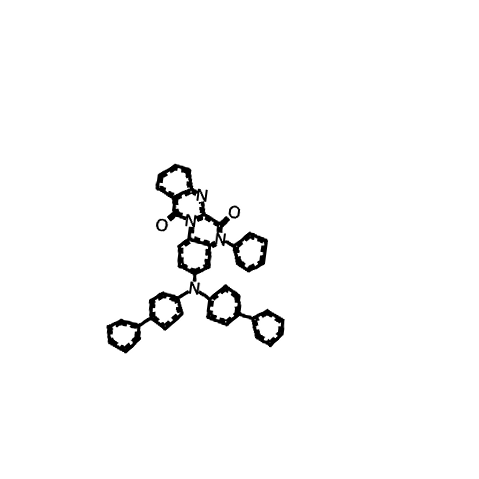 O=c1c2nc3ccccc3c(=O)n2c2ccc(N(c3ccc(-c4ccccc4)cc3)c3ccc(-c4ccccc4)cc3)cc2n1-c1ccccc1